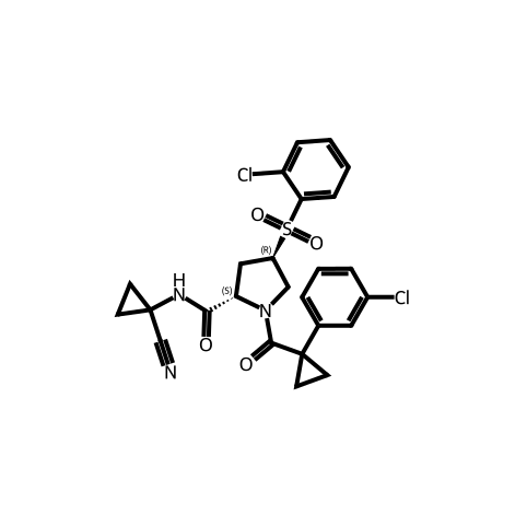 N#CC1(NC(=O)[C@@H]2C[C@@H](S(=O)(=O)c3ccccc3Cl)CN2C(=O)C2(c3cccc(Cl)c3)CC2)CC1